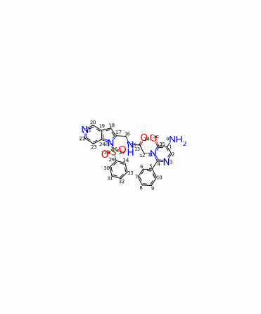 Nc1cnc(-c2ccccc2)n(CC(=O)NCc2cc3cnccc3n2S(=O)(=O)c2ccccc2)c1=O